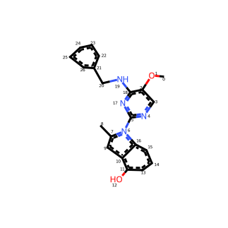 COc1cnc(-n2c(C)cc3c(O)cccc32)nc1NCc1ccccc1